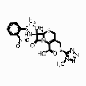 CO[C@@]1(NSc2ccccc2[N+](=O)[O-])C(=O)N2C(C(=O)O)=C(CSc3nnnn3C)CS[C@H]21